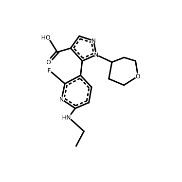 CCNc1ccc(-c2c(C(=O)O)cnn2C2CCOCC2)c(F)n1